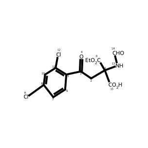 CCOC(=O)C(CC(=O)c1ccc(Cl)cc1Cl)(NC=O)C(=O)O